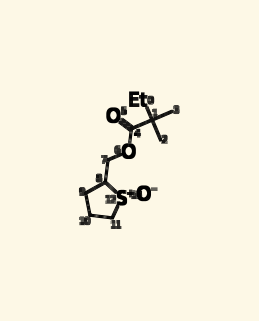 CCC(C)(C)C(=O)OCC1CCC[S+]1[O-]